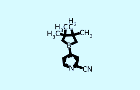 CC1(C)CB(c2ccnc(C#N)c2)CC1(C)C